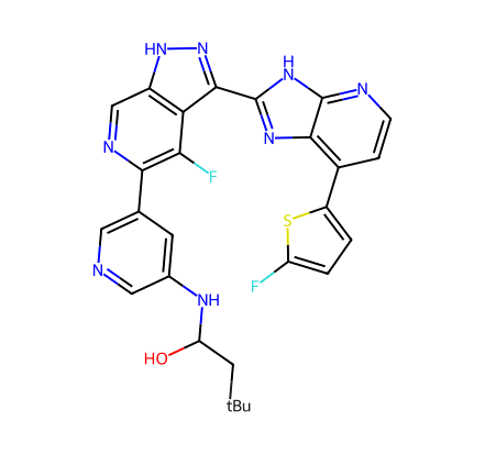 CC(C)(C)CC(O)Nc1cncc(-c2ncc3[nH]nc(-c4nc5c(-c6ccc(F)s6)ccnc5[nH]4)c3c2F)c1